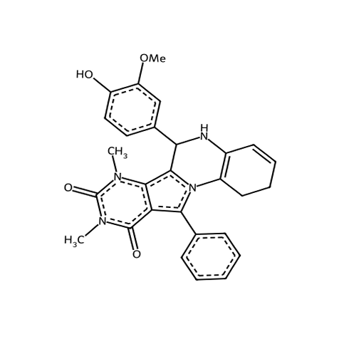 COc1cc(C2NC3=C(CCC=C3)n3c(-c4ccccc4)c4c(=O)n(C)c(=O)n(C)c4c32)ccc1O